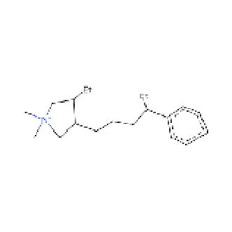 CCC(CCCC1C[N+](C)(C)CC1CC)c1ccccc1